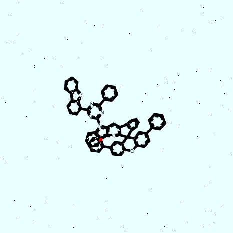 c1ccc(-c2ccc3c(c2)C2(c4cc(-c5ccccc5)ccc4O3)c3ccccc3-c3cc4c(cc32)c2ccccc2n4-c2nc(-c3ccccc3)nc(-c3cccc4c3sc3ccccc34)n2)cc1